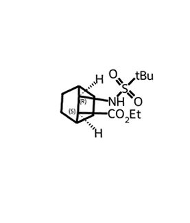 CCOC(=O)[C@H]1C2CCC(CC2)[C@H]1NS(=O)(=O)C(C)(C)C